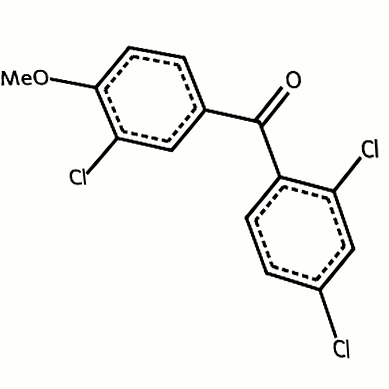 COc1ccc(C(=O)c2ccc(Cl)cc2Cl)cc1Cl